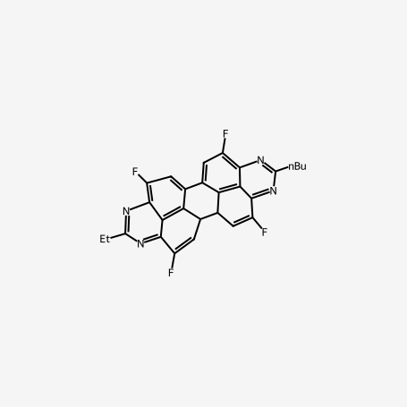 CCCCc1nc2c3c4c(cc(F)c3n1)-c1cc(F)c3nc(CC)nc5c3c1C(C=C5F)C4C=C2F